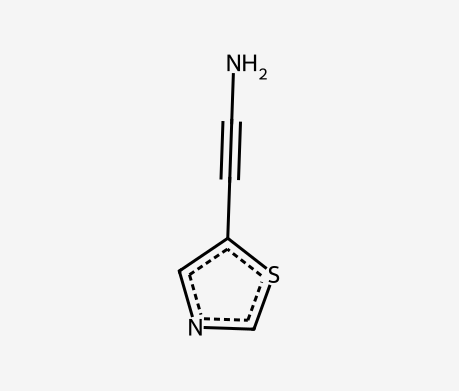 NC#Cc1cncs1